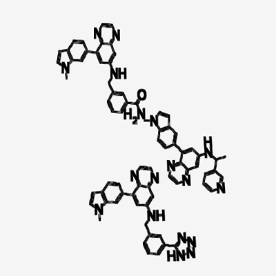 CC(Nc1cc(-c2ccc3c(ccn3C)c2)c2nccnc2c1)c1cccnc1.Cn1ccc2ccc(-c3cc(NCc4cccc(-c5nnn[nH]5)c4)cc4nccnc34)cc21.Cn1ccc2ccc(-c3cc(NCc4cccc(C(N)=O)c4)cc4nccnc34)cc21